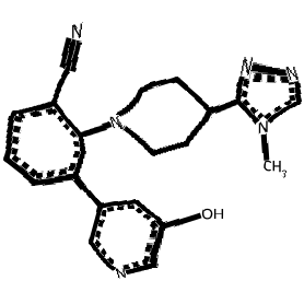 Cn1cnnc1C1CCN(c2c(C#N)cccc2-c2cncc(O)c2)CC1